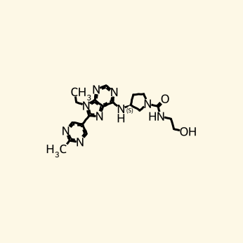 CCn1c(-c2cnc(C)nc2)nc2c(N[C@H]3CCN(C(=O)NCCO)C3)ncnc21